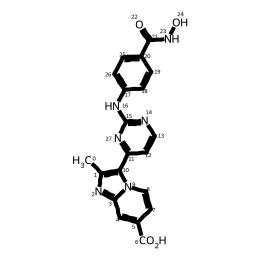 Cc1nc2cc(C(=O)O)ccn2c1-c1ccnc(Nc2ccc(C(=O)NO)cc2)n1